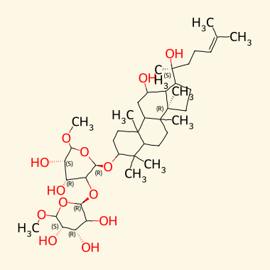 COC1O[C@@H](OC2[C@H](OC3CCC4(C)C(CCC5(C)C4CC(O)C4C([C@@](C)(O)CCC=C(C)C)CC[C@]45C)C3(C)C)OC(OC)[C@@H](O)[C@H]2O)C(O)[C@H](O)[C@@H]1O